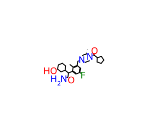 Cc1c(CN2CCN(C(=O)C3CCCC3)[C@@H](C)C2)cc(F)cc1C(C(N)=O)C1CCCC(O)C1